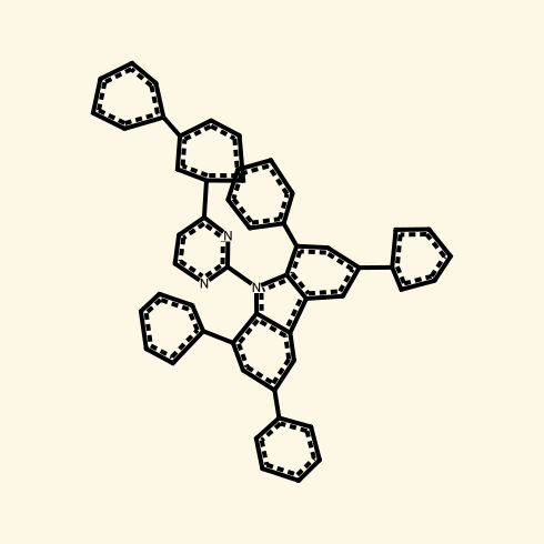 c1ccc(-c2cccc(-c3ccnc(-n4c5c(-c6ccccc6)cc(-c6ccccc6)cc5c5cc(-c6ccccc6)cc(-c6ccccc6)c54)n3)c2)cc1